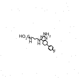 Nc1nc2c(c(NCCCNC(=O)O)n1)CCC(c1ccc(F)cc1)C2